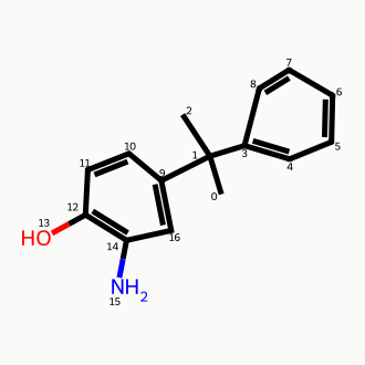 CC(C)(c1ccccc1)c1ccc(O)c(N)c1